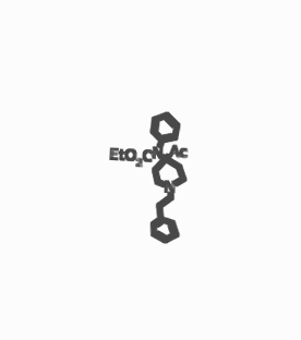 CCOC(=O)N(c1ccccc1)C1(C(C)=O)CCN(CCc2ccccc2)CC1